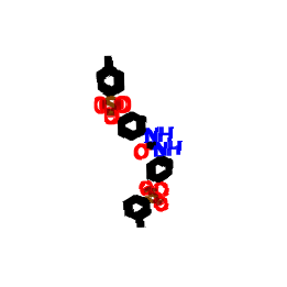 Cc1ccc(S(=O)(=O)Oc2ccc(NC(=O)Nc3ccc(OS(=O)(=O)c4cccc(C)c4)cc3)cc2)cc1